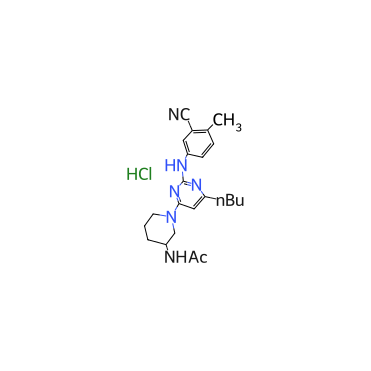 CCCCc1cc(N2CCCC(NC(C)=O)C2)nc(Nc2ccc(C)c(C#N)c2)n1.Cl